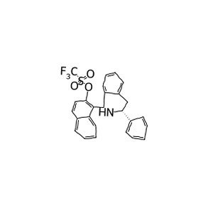 O=S(=O)(Oc1ccc2ccccc2c1C1N[C@@H](c2ccccc2)Cc2ccccc21)C(F)(F)F